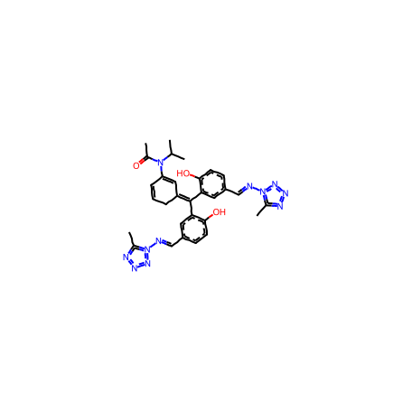 CC(=O)N(C1=CC(=C(c2cc(C=Nn3nnnc3C)ccc2O)c2cc(C=Nn3nnnc3C)ccc2O)CC=C1)C(C)C